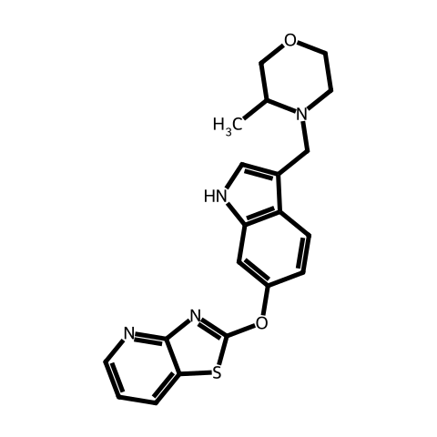 CC1COCCN1Cc1c[nH]c2cc(Oc3nc4ncccc4s3)ccc12